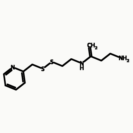 C=C(CCN)NCCSSCc1ccccn1